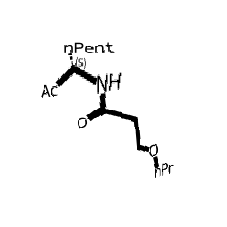 CCCCC[C@H](NC(=O)CCOCCC)C(C)=O